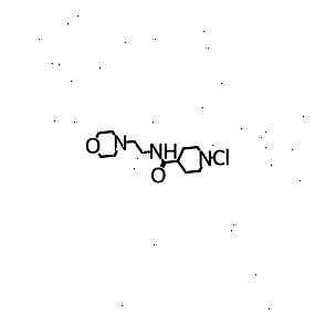 O=C(NCCN1CCOCC1)C1CCN(Cl)CC1